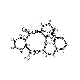 O=c1oc2ccc3ccccc3c2c2c(ccc3ccccc32)oc(=O)c2ccccc12